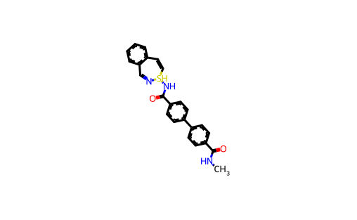 CNC(=O)c1ccc(-c2ccc(C(=O)N[SH]3C=Cc4ccccc4C=N3)cc2)cc1